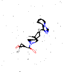 CC1(O)CC(C(=O)N2CC3(CC[C@@H](c4ncn5ccccc45)C3)C2)C1